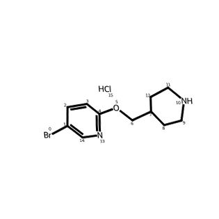 Brc1ccc(OCC2CCNCC2)nc1.Cl